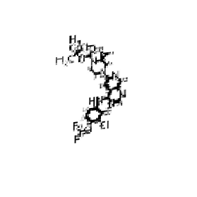 CC(C)(C)OC(=O)N1CCN(c2cc3c(Nc4ccc(OC(F)F)c(Cl)c4F)ncnc3cn2)CC12CC2